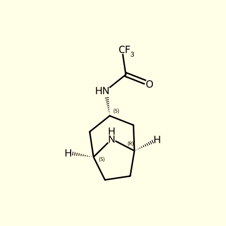 O=C(N[C@@H]1C[C@H]2CC[C@@H](C1)N2)C(F)(F)F